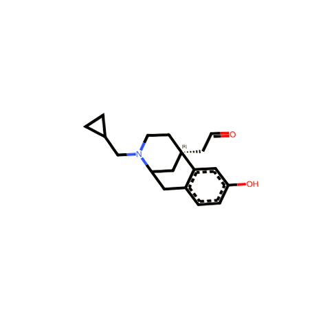 O=CC[C@]12CCN(CC3CC3)C(Cc3ccc(O)cc31)C2